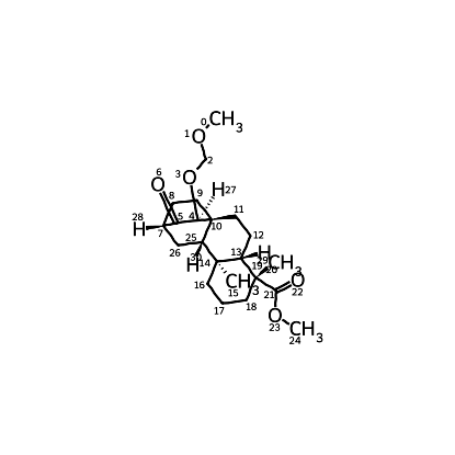 COCO[C@@H]1C(=O)[C@H]2CC[C@@]13CC[C@H]1[C@@](C)(CCC[C@@]1(C)C(=O)OC)[C@@H]3C2